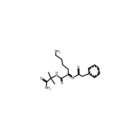 CC(C)(NC(=O)/C(CCCCN)=N/C(=O)Cc1ccccc1)C(N)=O